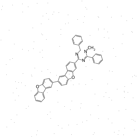 C=N/C(=N\C(=N/Cc1ccccc1)c1ccc2c(c1)oc1ccc(-c3ccc4oc5ccccc5c4c3)cc12)c1ccccc1